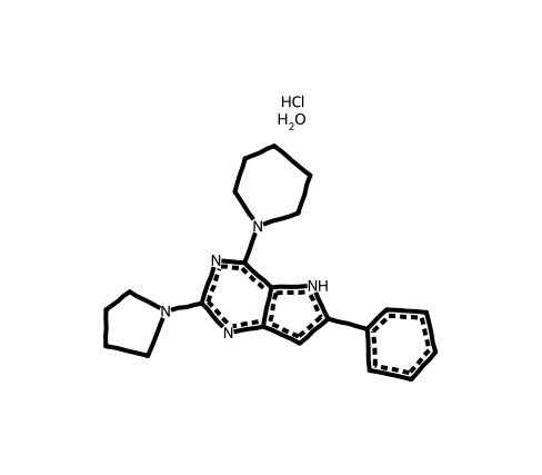 Cl.O.c1ccc(-c2cc3nc(N4CCCC4)nc(N4CCCCC4)c3[nH]2)cc1